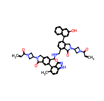 C=CC(=O)N1CC(N2Cc3cc(C(=O)NCc4ccc(-c5cc(O)cc6ccccc56)c5c4C(=O)N(C4CN(C(=O)C=C)C4)C5)c(-c4c(C)ccc5[nH]ncc45)cc3C2=O)C1